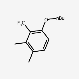 CCCCOc1ccc(C)c(C)c1C(F)(F)F